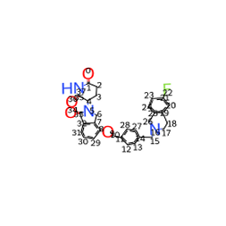 O=C1CCC(N2Cc3c(OCc4ccc(CN5CCc6cc(F)ccc6C5)cc4)cccc3C2=O)C(=O)N1